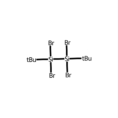 CC(C)(C)[Si](Br)(Br)[Si](Br)(Br)C(C)(C)C